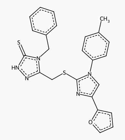 Cc1ccc(-n2cc(-c3ccco3)nc2SCc2n[nH]c(=S)n2Cc2ccccc2)cc1